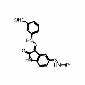 CC(C)NSc1ccc2c(c1)/C(=N/Nc1cccc(C=O)c1)C(=O)N2